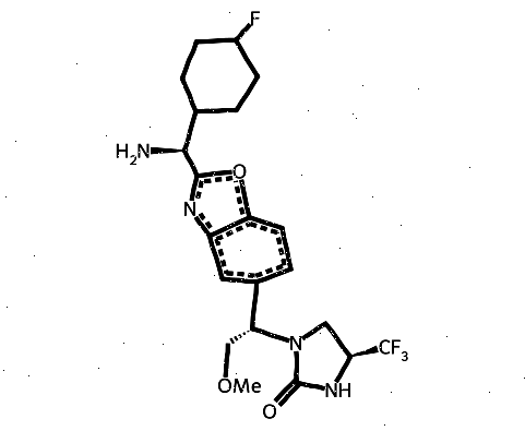 COC[C@H](c1ccc2oc([C@@H](N)C3CCC(F)CC3)nc2c1)N1C[C@@H](C(F)(F)F)NC1=O